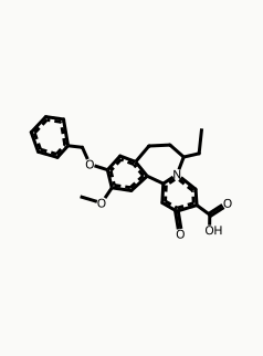 CCC1CCc2cc(OCc3ccccc3)c(OC)cc2-c2cc(=O)c(C(=O)O)cn21